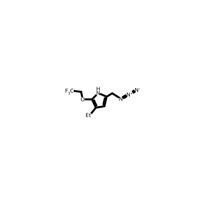 CCc1cc(CN=[N+]=[N-])[nH]c1OCC(F)(F)F